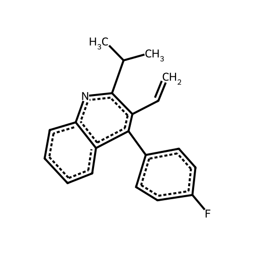 C=Cc1c(C(C)C)nc2ccccc2c1-c1ccc(F)cc1